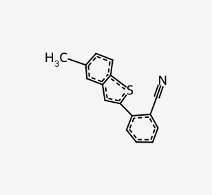 Cc1ccc2sc(-c3ccccc3C#N)cc2c1